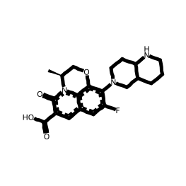 C[C@H]1COc2c(N3CCC4NCCCC4C3)c(F)cc3cc(C(=O)O)c(=O)n1c23